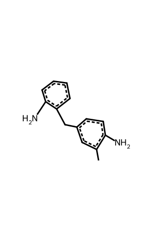 Cc1cc(Cc2ccccc2N)ccc1N